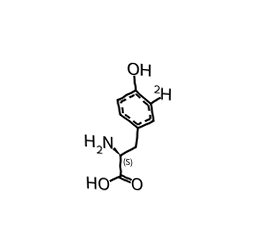 [2H]c1cc(C[C@H](N)C(=O)O)ccc1O